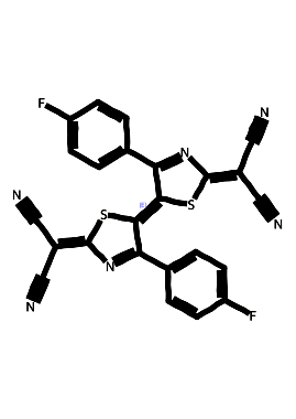 N#CC(C#N)=c1nc(-c2ccc(F)cc2)/c(=c2\sc(=C(C#N)C#N)nc2-c2ccc(F)cc2)s1